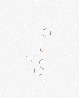 CC(C)Cc1nc2ccccc2c(=O)n1NC(=O)CCc1ccc(F)cc1